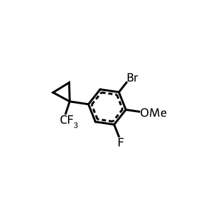 COc1c(F)cc(C2(C(F)(F)F)CC2)cc1Br